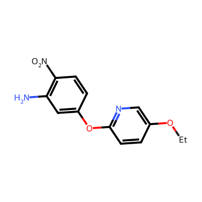 CCOc1ccc(Oc2ccc([N+](=O)[O-])c(N)c2)nc1